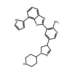 Nc1ncc(C2C=NN(C3CCNCC3)C2)cc1-c1nc2cccc(-c3ccc[nH]3)c2s1